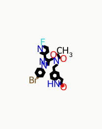 CC1OC(c2cn(-c3ccc(Br)cc3)nc2-c2ccc(F)nc2)N(CCc2ccc3c(c2)CC(=O)N3)C1=O